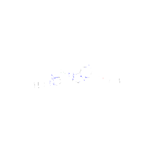 CCOCc1cn2cc(Cc3cn(C)nc3Br)nc2cn1